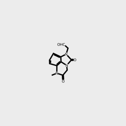 CN1C(=O)Cn2c(=O)n(CC=O)c3cccc1c32